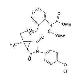 CCOc1ccc(N2C(=O)C3C(C)(CSC)C3(SCc3ccccc3C(=NOC)C(=O)OC)C2=O)cc1